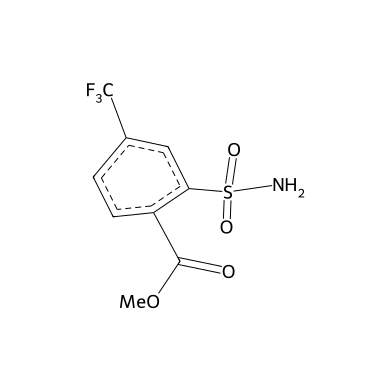 COC(=O)c1ccc(C(F)(F)F)cc1S(N)(=O)=O